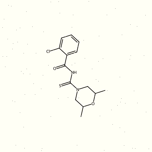 CC1CN(C(=S)NC(=O)c2ccccc2Cl)CC(C)O1